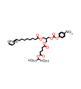 CCCCC/C=C\C/C=C\CCCCCCCC(=O)OCC(COC(=O)CCCC(=O)OC(CCCCCCCC)CCCCCCCC)COC(=O)Oc1ccc([N+](=O)[O-])cc1